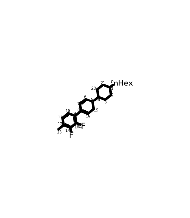 CCCCCCC1CCC(C2C=CC(c3ccc(C)c(F)c3F)=CC2)CC1